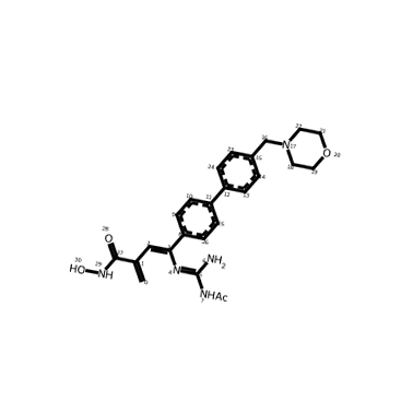 C=C(/C=C(\N=C(/N)NC(C)=O)c1ccc(-c2ccc(CN3CCOCC3)cc2)cc1)C(=O)NO